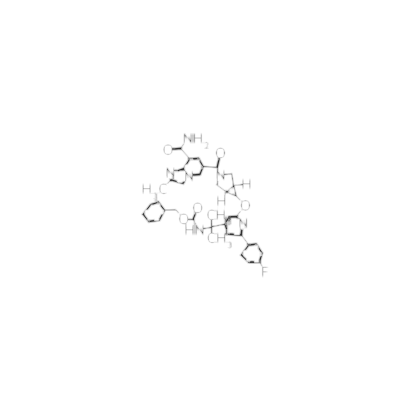 Cc1cn2cc(C(=O)N3C[C@@H]4C(Oc5cc(C(C)(C)NC(=O)OCc6ccccc6)cc(-c6ccc(F)cc6)n5)[C@@H]4C3)cc(C(N)=O)c2n1